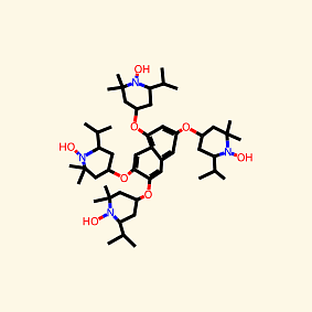 CC(C)C1CC(Oc2cc(OC3CC(C(C)C)N(O)C(C)(C)C3)c3cc(OC4CC(C(C)C)N(O)C(C)(C)C4)c(OC4CC(C(C)C)N(O)C(C)(C)C4)cc3c2)CC(C)(C)N1O